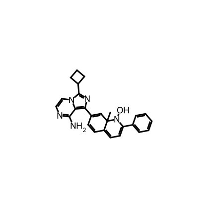 CC12C=C(c3nc(C4CCC4)n4ccnc(N)c34)C=CC1=CC=C(c1ccccc1)N2O